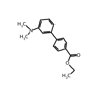 CCOC(=O)c1ccc(-c2[c]ccc(N(C)C)c2)cc1